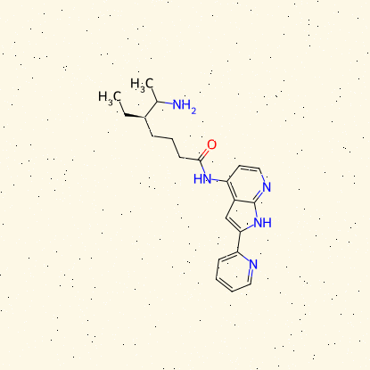 CC[C@H](CCCC(=O)Nc1ccnc2[nH]c(-c3ccccn3)cc12)C(C)N